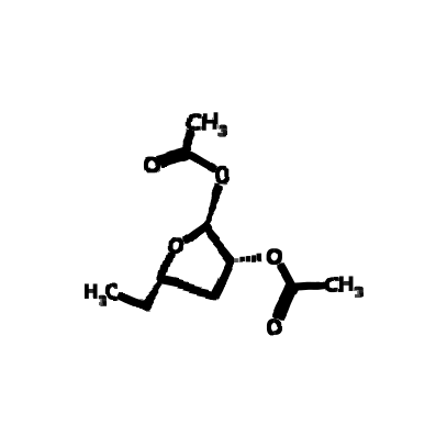 CC[C@@H]1C[C@@H](OC(C)=O)[C@H](OC(C)=O)O1